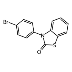 O=c1sc2ccccc2n1-c1ccc(Br)cc1